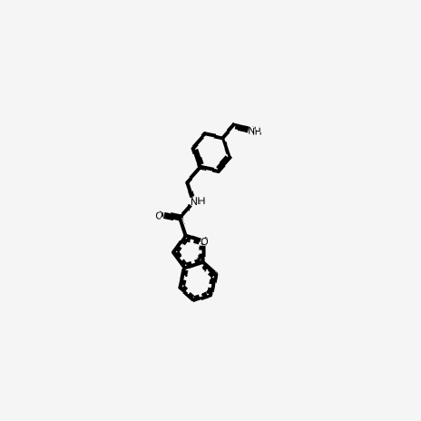 N=CC1C=CC(CNC(=O)c2cc3ccccc3o2)=CC1